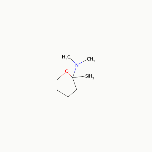 CN(C)C1([SiH3])CCCCO1